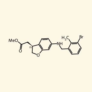 COC(=O)C[C@@H]1COc2cc(NCc3cccc(Br)c3C)ccc21